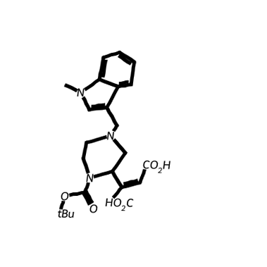 Cn1cc(CN2CCN(C(=O)OC(C)(C)C)C(/C(=C\C(=O)O)C(=O)O)C2)c2ccccc21